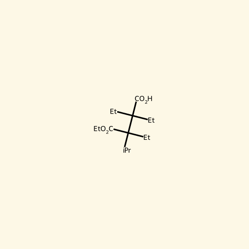 CCOC(=O)C(CC)(C(C)C)C(CC)(CC)C(=O)O